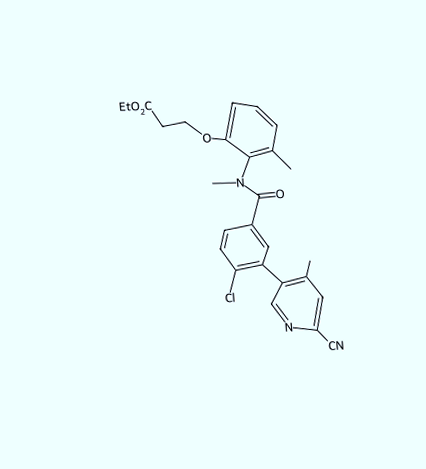 CCOC(=O)CCOc1cccc(C)c1N(C)C(=O)c1ccc(Cl)c(-c2cnc(C#N)cc2C)c1